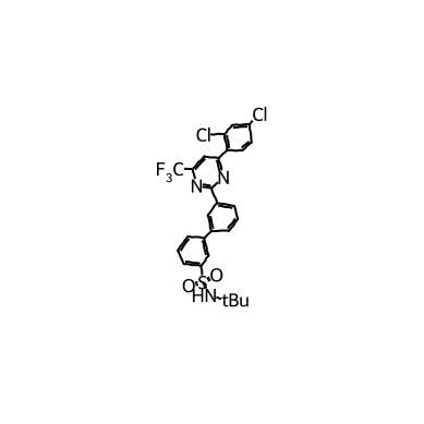 CC(C)(C)NS(=O)(=O)c1cccc(-c2cccc(-c3nc(-c4ccc(Cl)cc4Cl)cc(C(F)(F)F)n3)c2)c1